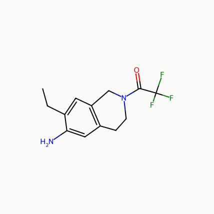 CCc1cc2c(cc1N)CCN(C(=O)C(F)(F)F)C2